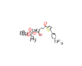 CC(C)(C)OC(=O)C(C)(C)Oc1ccc(CCC(=O)c2ccc(-c3ccc(C(F)(F)F)cc3)s2)cc1Br